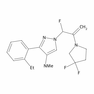 C=C(C(F)n1cc(NC)c(-c2ccccc2CC)n1)N1CCC(F)(F)C1